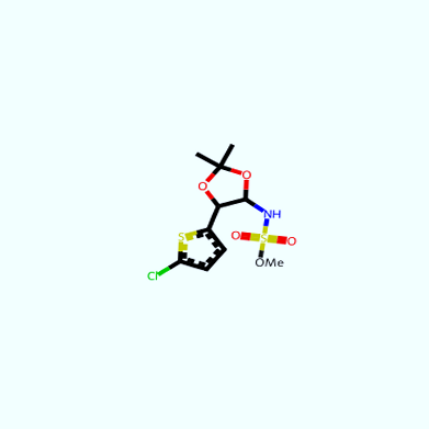 COS(=O)(=O)NC1OC(C)(C)OC1c1ccc(Cl)s1